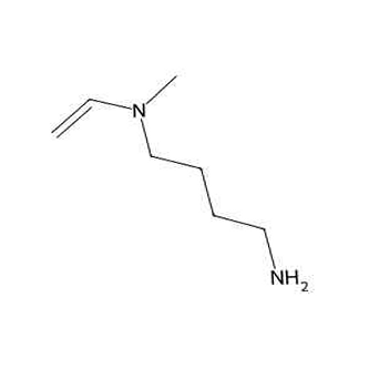 C=CN(C)CCCCN